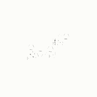 COc1ccccc1C(=O)NC(=O)Nc1ccc(Oc2ccc(N(c3ccccc3)S(=O)(=O)O)c3c2CCCC3)c(C(F)(F)F)c1